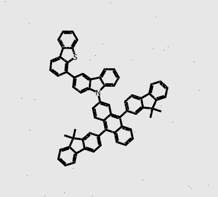 CC1(C)c2ccccc2-c2ccc(-c3c4ccccc4c(-c4ccc5c(c4)C(C)(C)c4ccccc4-5)c4cc(-n5c6ccccc6c6cc(-c7cccc8c7sc7ccccc78)ccc65)ccc34)cc21